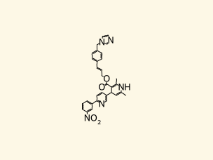 CC1=CC(c2ccc(-c3cccc([N+](=O)[O-])c3)nc2)C(C(=O)OC/C=C/c2ccc(Cn3ccnc3)cc2)=C(C)N1